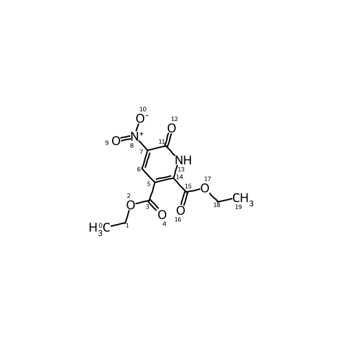 CCOC(=O)c1cc([N+](=O)[O-])c(=O)[nH]c1C(=O)OCC